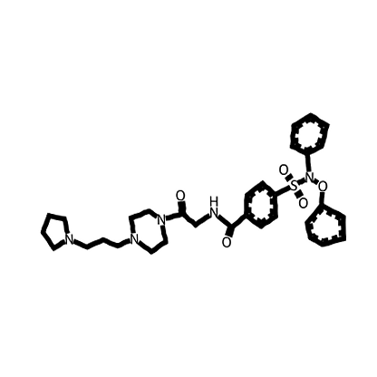 O=C(NCC(=O)N1CCN(CCCN2CCCC2)CC1)c1ccc(S(=O)(=O)N(Oc2ccccc2)c2ccccc2)cc1